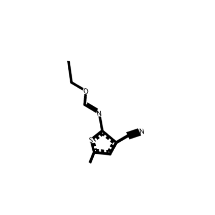 CCO/C=N/c1sc(C)cc1C#N